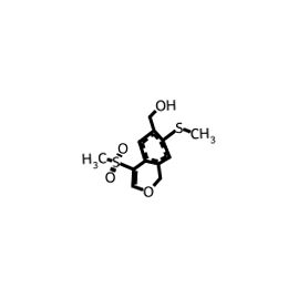 CSc1cc2c(cc1CO)C(S(C)(=O)=O)=COC2